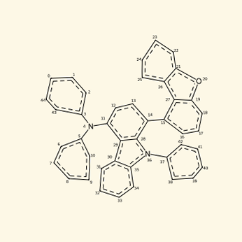 c1ccc(N(c2ccccc2)c2ccc(-c3cccc4oc5ccccc5c34)c3c2c2ccccc2n3-c2ccccc2)cc1